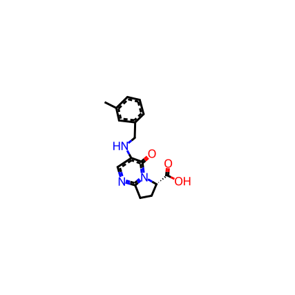 Cc1cccc(CNc2cnc3n(c2=O)[C@H](C(=O)O)CC3)c1